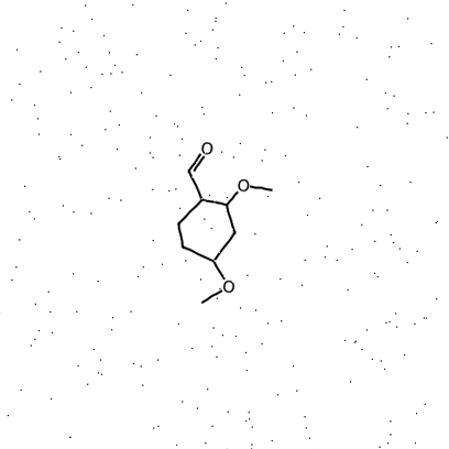 COC1CCC(C=O)C(OC)C1